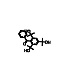 CC(C)(O)c1cc(C(C)(C)O)c(C(=O)c2ccccc2)c(C(C)(C)O)c1